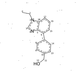 CCn1cnc2c(-c3ccc(CO)cc3)cccc21